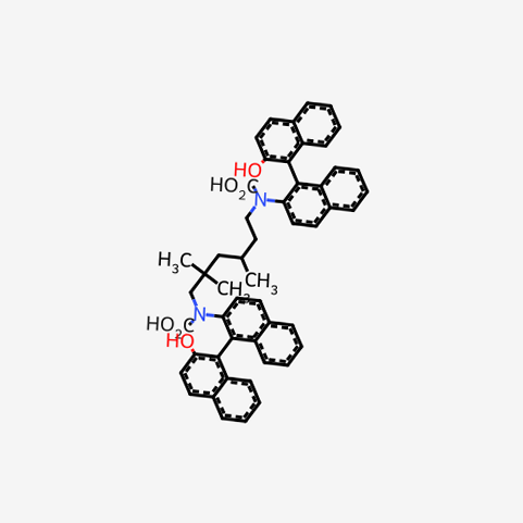 CC(CCN(C(=O)O)c1ccc2ccccc2c1-c1c(O)ccc2ccccc12)CC(C)(C)CN(C(=O)O)c1ccc2ccccc2c1-c1c(O)ccc2ccccc12